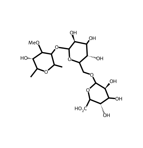 COC1C(OC2OC(COC3OC(C(=O)O)[C@@H](O)C(O)[C@@H]3O)[C@@H](O)C(O)[C@@H]2O)C(C)OC(C)[C@@H]1O